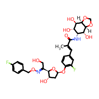 CC(=Cc1ccc(O[C@H]2C[C@H](O)[C@@H](C(CO)=NOCc3ccc(F)cc3)O2)c(F)c1)C(=O)N[C@@H]1[C@H](O)[C@@H](O)[C@H]2OCO[C@H]2[C@@H]1O